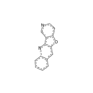 c1ccc2nc3c(cc2c1)oc1ccncc13